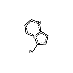 CC(C)c1ccc2ncccn12